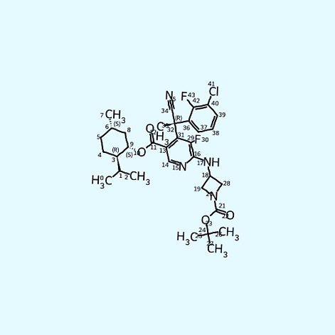 CC(C)[C@H]1CC[C@H](C)C[C@@H]1OC(=O)c1cnc(NC2CN(C(=O)OC(C)(C)C)C2)c(F)c1[C@](C)(C#N)c1cccc(Cl)c1F